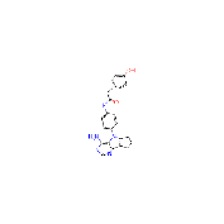 Nc1ncnc2c3c(n(-c4ccc(NC(=O)Cc5ccc(O)cc5)cc4)c12)CCC3